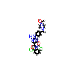 CC(=O)N1CCN(C(C)c2ccc(Nc3ncc4c(n3)OCN(c3c(Cl)cccc3Cl)C4=O)cc2)CC1